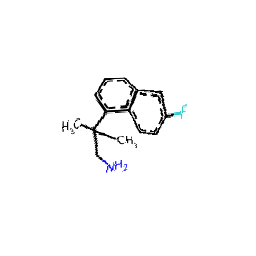 CC(C)(CN)c1cccc2cc(F)ccc12